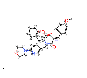 COc1ccc(/C=C/C(=O)N(Cc2ccc(N3CCOCC3)nc2)[C@@H](Cc2ccccc2)C(=O)O)cc1